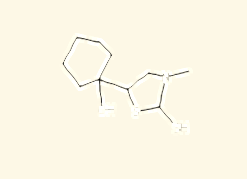 CN1CC(C2(O)CCCCC2)SC1S